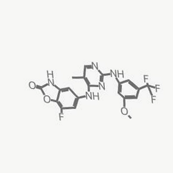 COc1cc(Nc2ncc(C)c(Nc3cc(F)c4oc(=O)[nH]c4c3)n2)cc(C(F)(F)F)c1